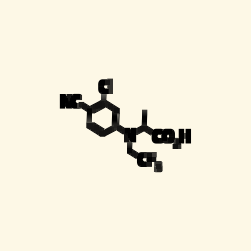 CC(C(=O)O)N(CC(F)(F)F)c1ccc(C#N)c(Cl)c1